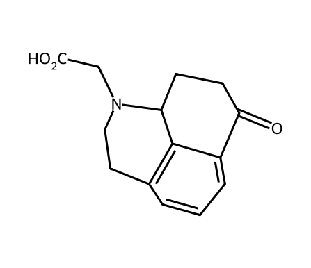 O=C(O)CN1CCc2cccc3c2C1CCC3=O